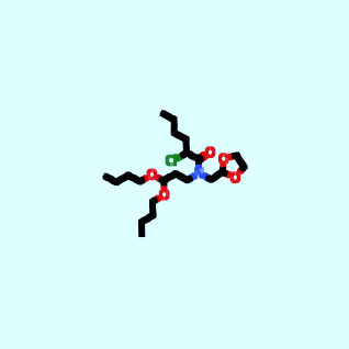 CCCCOC(CCN(CC1OCCO1)C(=O)C(Cl)CCCC)OCCCC